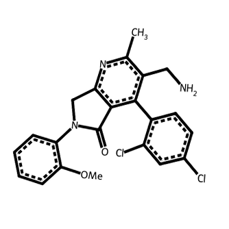 COc1ccccc1N1Cc2nc(C)c(CN)c(-c3ccc(Cl)cc3Cl)c2C1=O